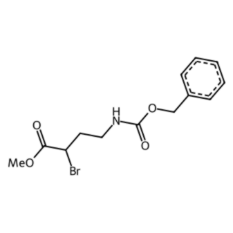 COC(=O)C(Br)CCNC(=O)OCc1ccccc1